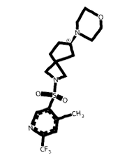 Cc1cc(C(F)(F)F)ncc1S(=O)(=O)N1CC2(CC[C@@H](N3CCOCC3)C2)C1